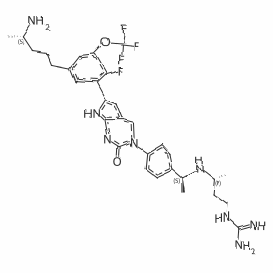 C[C@H](N)CCCc1cc(OC(F)(F)F)c(F)c(-c2cc3cn(-c4ccc([C@H](C)N[C@H](C)CCNC(=N)N)cc4)c(=O)nc3[nH]2)c1